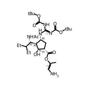 CCC(CC)[C@H](NC(C)=O)[C@@H]1[C@H](O)[C@@H](C(=O)O/C(C)=C/N)C[C@H]1N/C(=N/C(=O)OC(C)(C)C)NC(=O)OC(C)(C)C